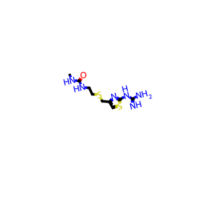 CNC(=O)NCCSCc1csc(NC(=N)N)n1